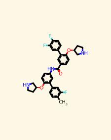 Cc1ccc(-c2cc(NC(=O)c3ccc(O[C@H]4CCNC4)c(-c4ccc(F)c(F)c4)c3)ccc2O[C@H]2CCNC2)cc1F